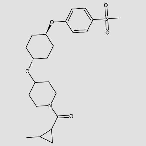 CC1CC1C(=O)N1CCC(O[C@H]2CC[C@H](Oc3ccc(S(C)(=O)=O)cc3)CC2)CC1